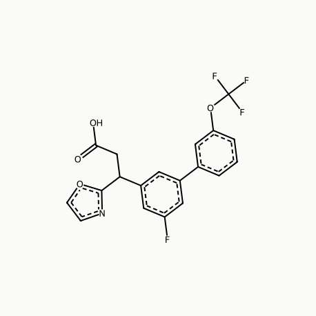 O=C(O)CC(c1cc(F)cc(-c2cccc(OC(F)(F)F)c2)c1)c1ncco1